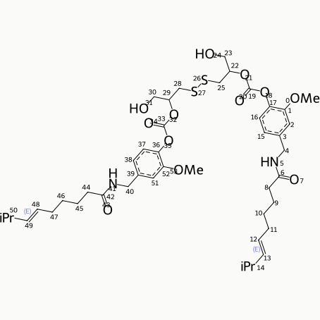 COc1cc(CNC(=O)CCCC/C=C/C(C)C)ccc1OC(=O)OC(CO)CSSCC(CO)OC(=O)Oc1ccc(CNC(=O)CCCC/C=C/C(C)C)cc1OC